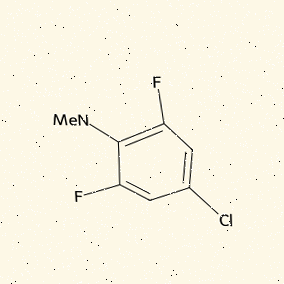 CNc1c(F)cc(Cl)cc1F